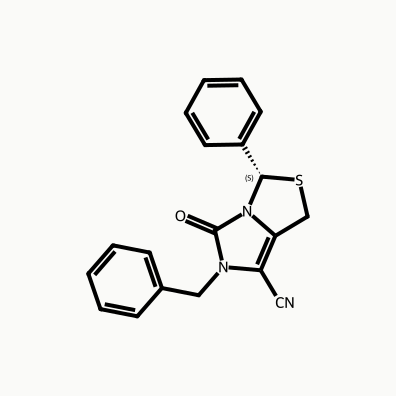 N#Cc1c2n(c(=O)n1Cc1ccccc1)[C@H](c1ccccc1)SC2